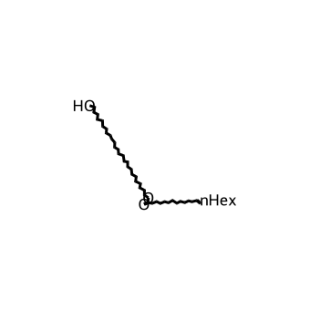 CCCCCCC=CCCCCCCCCCCCC(=O)OCCCCCCCCCCCCCCCCCCCCCCCCCCO